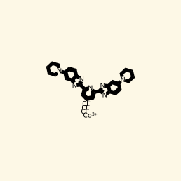 C1=CC2N=C(c3cccc(C4=NC5C=CC(N6CCCCC6)=CC5=N4)n3)N=C2C=C1N1CCCCC1.[Cl-].[Cl-].[Cl-].[Co+3]